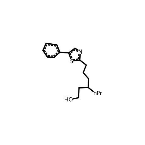 CCCC(CCO)CCCc1ncc(-c2ccccc2)s1